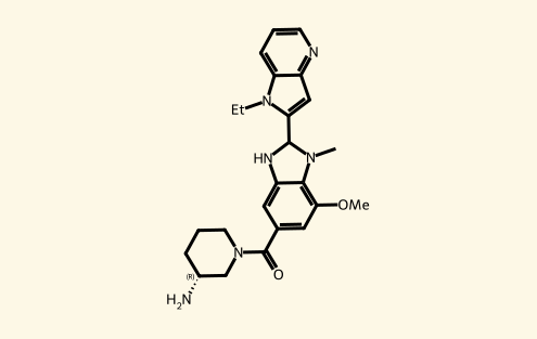 CCn1c(C2Nc3cc(C(=O)N4CCC[C@@H](N)C4)cc(OC)c3N2C)cc2ncccc21